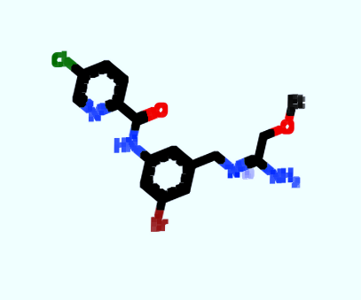 CCOC/C(N)=N\Cc1cc(Br)cc(NC(=O)c2ccc(Cl)cn2)c1